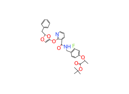 CC(Oc1ccc(CNC(=O)c2cccnc2OC2=COC(Cc3ccccc3)O2)c(F)c1)C(=O)OC(C)(C)C